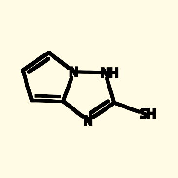 Sc1nc2cccn2[nH]1